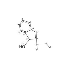 CCC(C)C1=Cc2ccccc2C1O